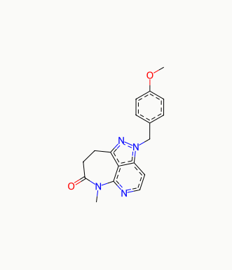 COc1ccc(Cn2nc3c4c(nccc42)N(C)C(=O)CC3)cc1